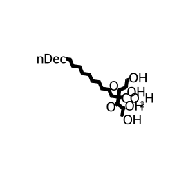 CCCCCCCCCCCCCCCCCCCCC(C(=O)O)(C(=O)C(O)CO)C(=O)C(O)CO